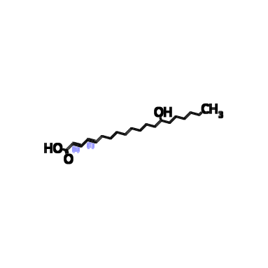 CCCCCCC(O)CCCCCCCC/C=C/C=C/C(=O)O